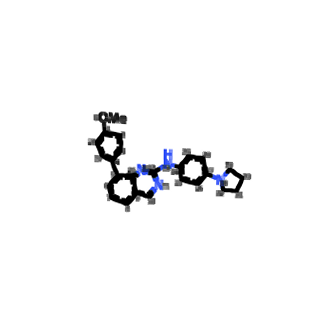 COc1ccc(-c2cccc3cnc(Nc4ccc(N5CCCC5)cc4)nc23)cc1